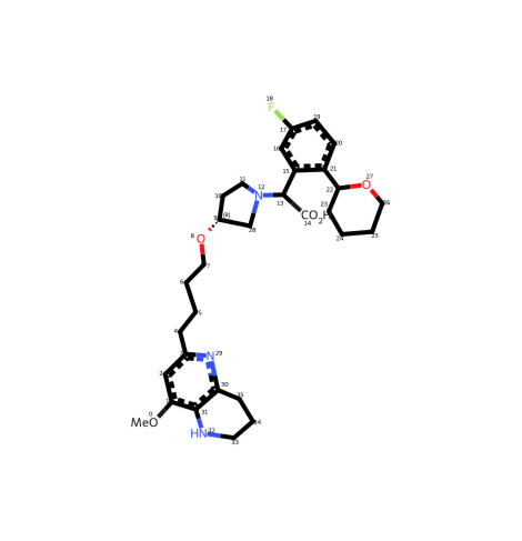 COc1cc(CCCCO[C@@H]2CCN(C(C(=O)O)c3cc(F)ccc3C3CCCCO3)C2)nc2c1NCCC2